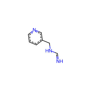 N=CNCc1cccnc1